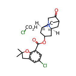 CC1(C)Cc2cc(Cl)cc(C(=O)OC3C[C@@H]4CC5C[C@@H](C3)N4CC5=O)c2O1.O=C(O)Cl